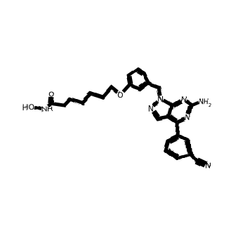 N#Cc1cccc(-c2nc(N)nc3c2cnn3Cc2cccc(OCCCCCCC(=O)NO)c2)c1